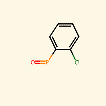 O=Pc1ccccc1Cl